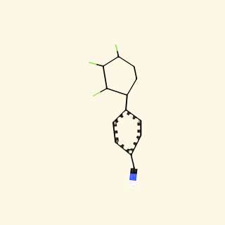 N#Cc1ccc(C2CCC(F)C(F)C2F)cc1